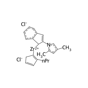 CCCC1=[C]([Zr+2][CH]2C(n3cc(C)cc3C)=Cc3ccccc32)CC=C1.[Cl-].[Cl-]